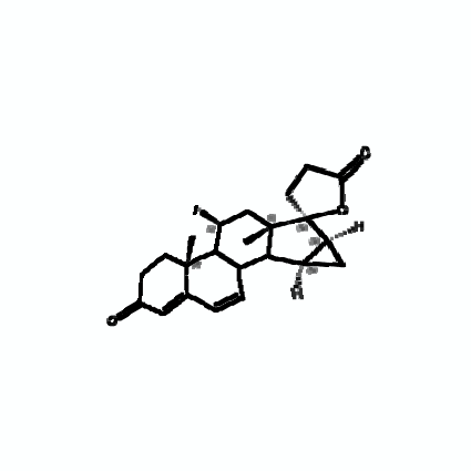 C[C@]12CCC(=O)C=C1C=CC1C2[C@@H](F)C[C@@]2(C)C1[C@@H]1C[C@@H]1[C@@]21CCC(=O)O1